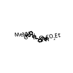 CCOC(=O)c1ncn2c1COc1c(CCN3CCN(c4cccc5nc(C(=O)NC)ccc45)CC3)cccc1-2